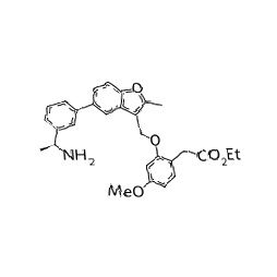 CCOC(=O)Cc1ccc(OC)cc1OCc1c(C)oc2ccc(-c3cccc([C@H](C)N)c3)cc12